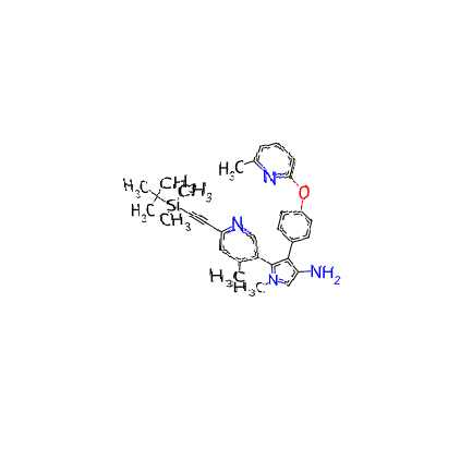 Cc1cccc(Oc2ccc(-c3c(N)cn(C)c3-c3cnc(C#C[Si](C)(C)C(C)(C)C)cc3C)cc2)n1